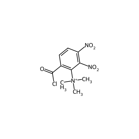 C[N+](C)(C)c1c(C(=O)Cl)ccc([N+](=O)[O-])c1[N+](=O)[O-]